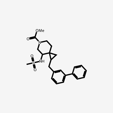 COC(=O)N1CCC2(CC2Cc2cccc(-c3ccccc3)c2)C(NS(C)(=O)=O)C1